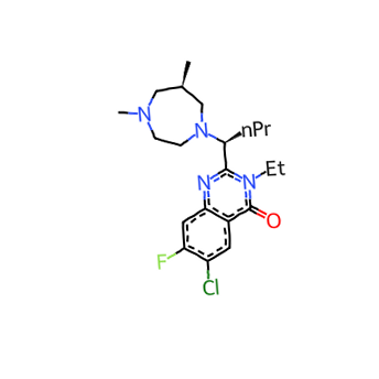 CCC[C@@H](c1nc2cc(F)c(Cl)cc2c(=O)n1CC)N1CCN(C)C[C@@H](C)C1